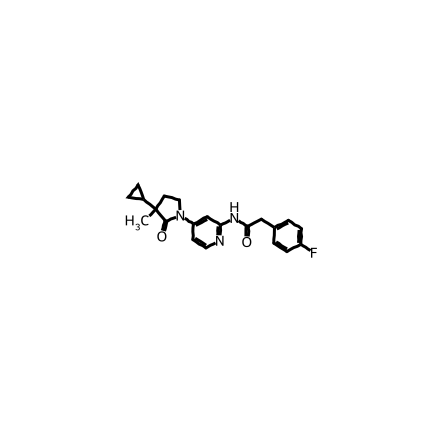 CC1(C2CC2)CCN(c2ccnc(NC(=O)Cc3ccc(F)cc3)c2)C1=O